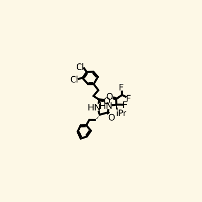 CC(C)[C@@](F)(NC(=O)[C@H](CCc1ccccc1)NC(=O)CCc1ccc(Cl)c(Cl)c1)C(=O)C(F)F